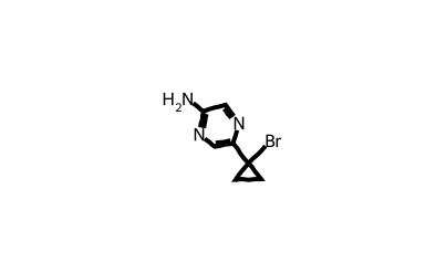 Nc1cnc(C2(Br)CC2)cn1